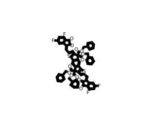 O=C1C(=O)c2c(F)cc(F)cc2/C1=C/c1cc2c(s1)-c1cc3c(cc1C2(C(=O)OCc1ccccc1)C(=O)OCc1ccccc1)-c1sc(/C=C2\C(=O)C(=O)c4c(F)cc(F)cc42)cc1C3(C(=O)OCc1ccccc1)C(=O)OCc1ccccc1